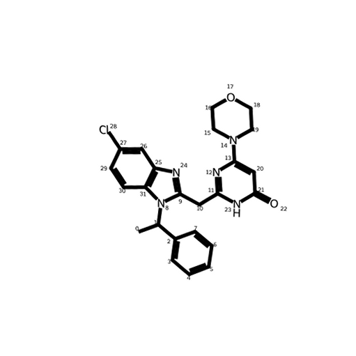 CC(c1ccccc1)n1c(Cc2nc(N3CCOCC3)cc(=O)[nH]2)nc2cc(Cl)ccc21